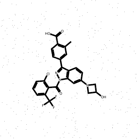 Cc1cc(-c2nn(C(=O)c3c(Cl)cccc3C(F)(F)F)c3cc(N4CC(O)C4)ccc23)ccc1C(=O)O